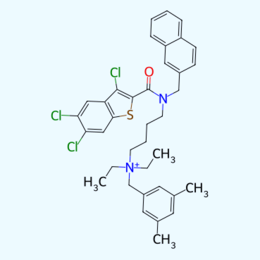 CC[N+](CC)(CCCCN(Cc1ccc2ccccc2c1)C(=O)c1sc2cc(Cl)c(Cl)cc2c1Cl)Cc1cc(C)cc(C)c1